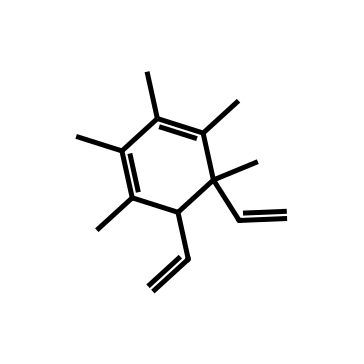 C=CC1C(C)=C(C)C(C)=C(C)C1(C)C=C